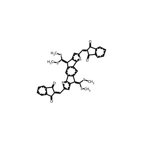 CSC(SC)=C1c2cc3c(cc2-c2sc(C=C4C(=O)c5ccccc5C4=O)cc21)C(=C(SC)SC)c1cc(C=C2C(=O)c4ccccc4C2=O)sc1-3